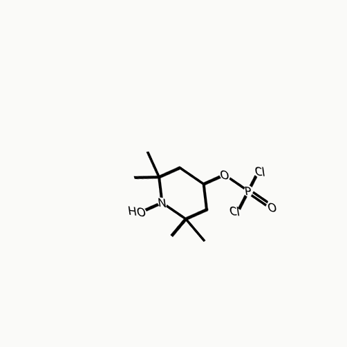 CC1(C)CC(OP(=O)(Cl)Cl)CC(C)(C)N1O